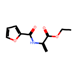 C=C(NC(=O)c1ccco1)C(=O)OCC